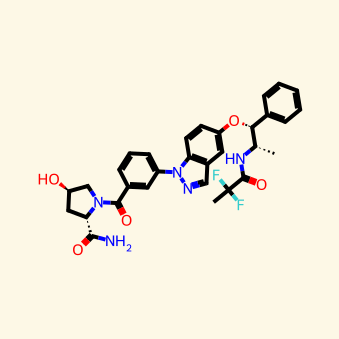 C[C@H](NC(=O)C(C)(F)F)[C@H](Oc1ccc2c(cnn2-c2cccc(C(=O)N3C[C@H](O)C[C@H]3C(N)=O)c2)c1)c1ccccc1